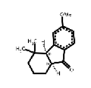 COc1ccc2c(c1)[C@H]1[C@H](CCCC1(C)C)C2=O